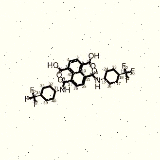 O=C(O)c1ccc(C(=O)O)c2c(C(=O)N[C@H]3CC[C@H](C(F)(F)F)CC3)ccc(C(=O)N[C@H]3CC[C@H](C(F)(F)F)CC3)c12